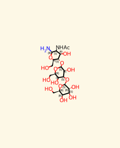 CC(=O)N[C@H]1[C@@H](O)[C@H](O[C@@H]2O[C@H](CO)[C@H](O)[C@H](O[C@@H]3O[C@H](CO)[C@H](O)[C@H](O)[C@H]3O)[C@H]2O)[C@@H](CO)O[C@H]1N